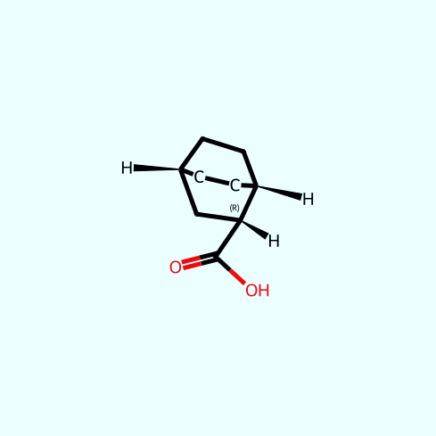 O=C(O)[C@@H]1C[C@H]2CC[C@@H]1CC2